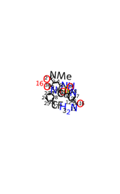 CNC(=O)C1=CC(NS(=O)(=O)c2ccc(C(N)=O)cn2)C(C)N(c2cccc(C(F)(F)F)c2)C1=[16O]